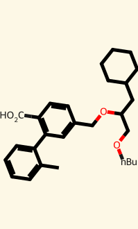 CCCCOCC(CC1CCCCC1)OCc1ccc(C(=O)O)c(-c2ccccc2C)c1